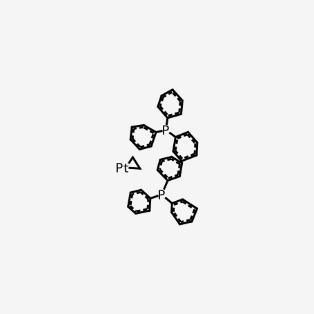 [CH2]1[CH2][Pt]1.c1ccc(P(c2ccccc2)c2ccccc2)cc1.c1ccc(P(c2ccccc2)c2ccccc2)cc1